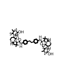 CC(C(=S)N[C@H]1CCS[C@H]2CC(C)(C)[C@@H](C(=O)Nc3ccc(CCc4ccc(NC(=O)[C@H]5N6C(=O)[C@@H](NC(=S)C(C)N(C)C(=O)O)CCS[C@H]6CC5(C)C)cc4)cc3)N2C1=O)N(C)C(=O)O